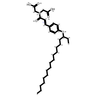 CCCCCCCCCCCCCCCC(CC)Oc1ccc(/C=C/C(=O)N(CC(=O)O)CC(=O)O)cc1